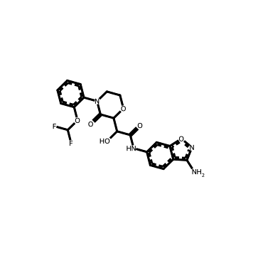 Nc1noc2cc(NC(=O)C(O)C3OCCN(c4ccccc4OC(F)F)C3=O)ccc12